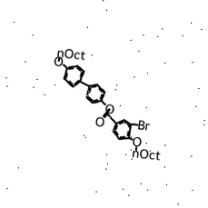 CCCCCCCCOc1ccc(-c2ccc(OC(=O)c3ccc(OCCCCCCCC)c(Br)c3)cc2)cc1